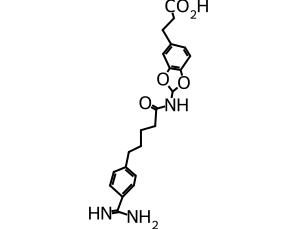 N=C(N)c1ccc(CCCCC(=O)NC2Oc3ccc(CCC(=O)O)cc3O2)cc1